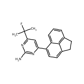 CC(C)(F)c1cc(-c2ccc3c4c(cccc24)CC3)nc(N)n1